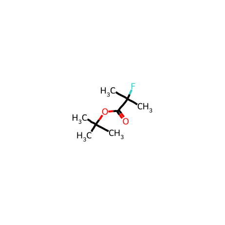 CC(C)(C)OC(=O)C(C)(C)F